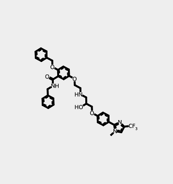 Cn1cc(C(F)(F)F)nc1-c1ccc(OCC(O)CNCCOc2ccc(OCc3ccccc3)c(C(=O)NCc3ccccc3)c2)cc1